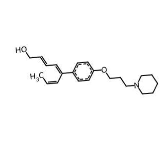 C\C=C/C(=C\C=C\CO)c1ccc(OCCCN2CCCCC2)cc1